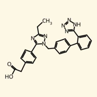 CCc1nc(-c2ccc(CC(=O)O)cc2)n(Cc2ccc(-c3ccccc3-c3nnn[nH]3)cc2)n1